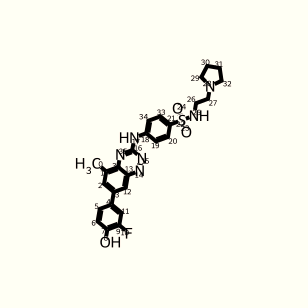 Cc1cc(-c2ccc(O)c(F)c2)cc2nnc(Nc3ccc(S(=O)(=O)NCCN4CCCC4)cc3)nc12